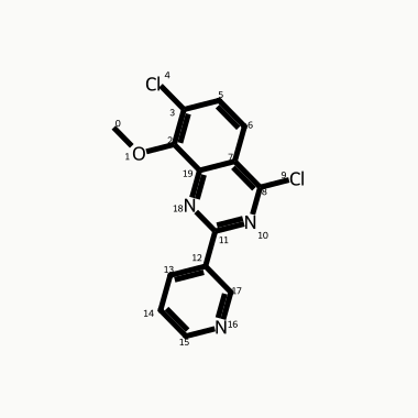 COc1c(Cl)ccc2c(Cl)nc(-c3cccnc3)nc12